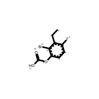 CCc1c(F)ccc(OC(=O)O)c1Br